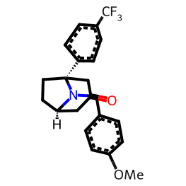 COc1ccc(CN2[C@@H]3CC[C@@]2(c2ccc(C(F)(F)F)cc2)CC(=O)C3)cc1